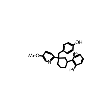 COc1ccc(C2(Cc3ccc(O)cc3)CCCC(c3c(C(C)C)cccc3C(C)C)C2)nc1